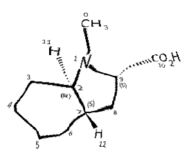 CN1[C@@H]2CCCC[C@H]2C[C@H]1C(=O)O